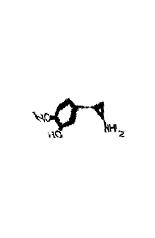 N[C@H]1C[C@H]1c1ccc(O)c(O)c1